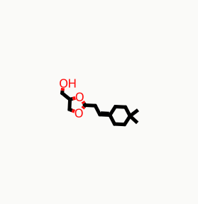 CC1(C)CCC(=CCC2OCC(CO)O2)CC1